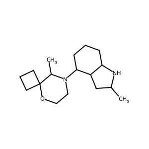 CC1CC2C(CCCC2N2CCOC3(CCC3)C2C)N1